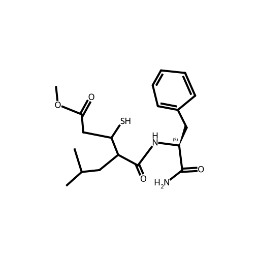 COC(=O)CC(S)C(CC(C)C)C(=O)N[C@@H](Cc1ccccc1)C(N)=O